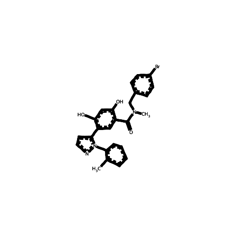 Cc1ccccc1-n1nccc1-c1cc(C(=O)N(C)Cc2ccc(Br)cc2)c(O)cc1O